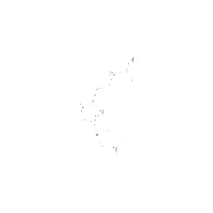 CN(C)CC(C)(C)c1nc(CCNC(=O)O)no1